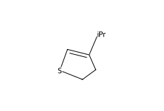 CC(C)C1=CSCC1